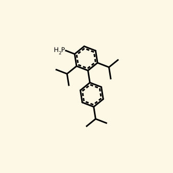 CC(C)c1ccc(-c2c(C(C)C)ccc(P)c2C(C)C)cc1